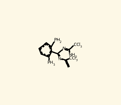 C=C(/N=C(\N=C(/N)C(Cl)(Cl)Cl)c1c(P)cccc1P)C(Cl)(Cl)Cl